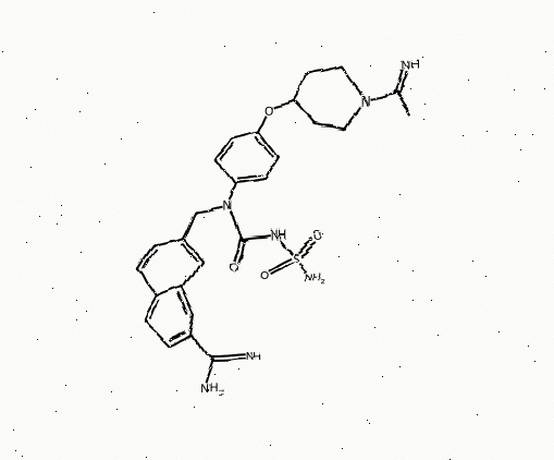 CC(=N)N1CCC(Oc2ccc(N(Cc3ccc4ccc(C(=N)N)cc4c3)C(=O)NS(N)(=O)=O)cc2)CC1